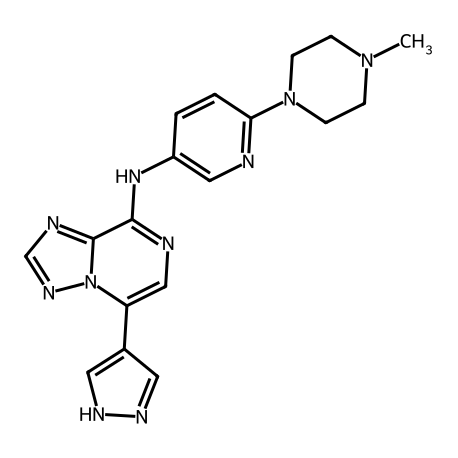 CN1CCN(c2ccc(Nc3ncc(-c4cn[nH]c4)n4ncnc34)cn2)CC1